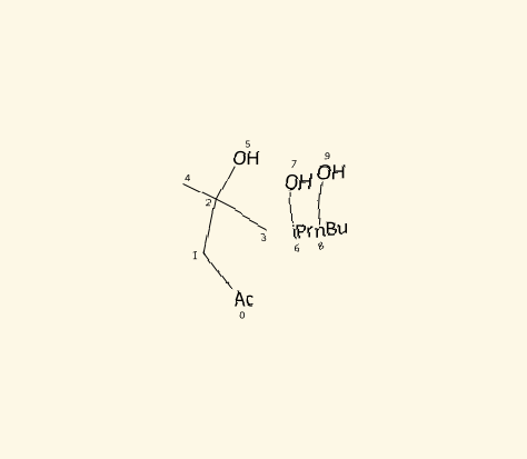 CC(=O)CC(C)(C)O.CC(C)O.CCCCO